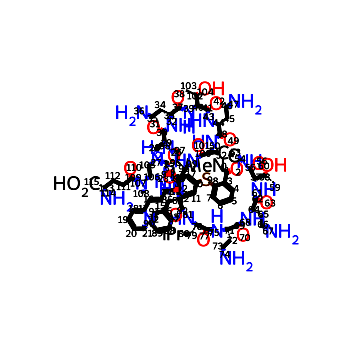 CNC(=O)c1ccccc1Sc1ccc2c(/C=C/c3ccccn3)nn(C(=O)N(CCC(=O)N[C@@H](CCN)C(=O)N[C@H](C(=O)N[C@@H](CCN)C(=O)N[C@H]3CCNC(=O)[C@H]([C@@H](C)O)NC(=O)[C@H](CCN)NC(=O)[C@H](CCN)NC(=O)[C@H](CC(C)C)NC(=O)[C@@H](Cc4ccccc4)NC(=O)[C@H](CCN)NC3=O)[C@@H](C)O)CCN(C)C(=O)CC[C@H](N)C(=O)O)c2c1